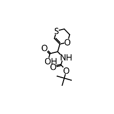 CC(C)(C)OC(=O)NC(C(=O)O)C1=CSCCO1